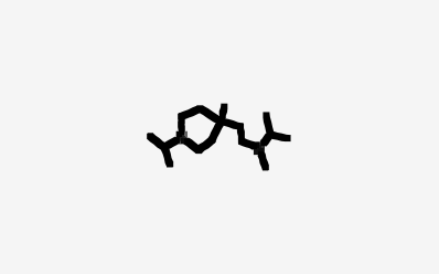 CC(C)N(C)CCC1(C)CCN(C(C)C)CC1